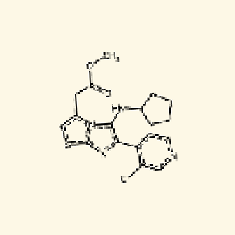 COC(=O)Cc1csc2nc(-c3ccncc3Cl)c(NC3CCCC3)n12